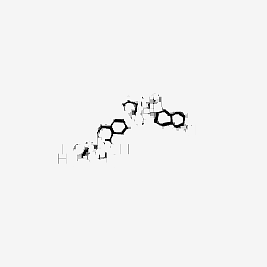 CC1c2ccc(N3CC[C@H](NS(=O)(=O)c4ccc5cc(Cl)ccc5c4)C3=O)cc2CCN1C(=O)OC(C)(C)C